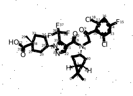 CC1(C)[C@@H]2C[C@H](N(CC(=O)c3c(Cl)cc(F)cc3Cl)C(=O)c3cnn([C@H]4CC[C@](C)(C(=O)O)CC4)c3C(F)(F)F)C[C@@H]21